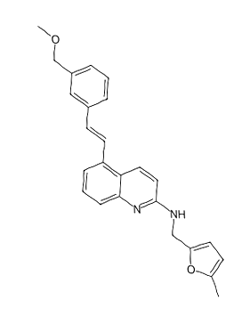 COCc1cccc(/C=C/c2cccc3nc(NCc4ccc(C)o4)ccc23)c1